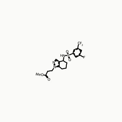 COC(=O)CCn1ncc2c1CCCC2NS(=O)(=O)c1cc(F)cc(C(F)(F)F)c1